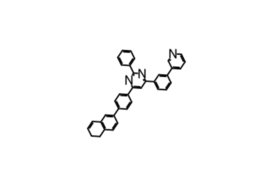 C1=Cc2cc(-c3ccc(-c4cc(-c5cccc(-c6cccnc6)c5)nc(-c5ccccc5)n4)cc3)ccc2CC1